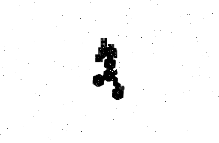 Cc1c(CCC[n+]2ccccc2)cc(-c2ccccc2)cc1N1CCN(c2ncnc3[nH]nc(Br)c23)CC1